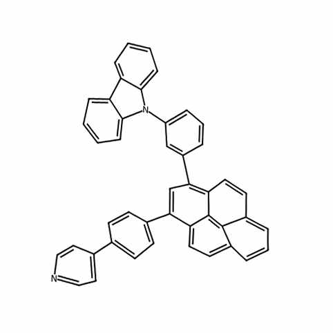 c1cc(-c2cc(-c3ccc(-c4ccncc4)cc3)c3ccc4cccc5ccc2c3c45)cc(-n2c3ccccc3c3ccccc32)c1